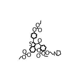 CCOC(=O)Oc1ccc(-c2sc3cc(OC(=O)OCC)cc(OC(=O)OCC)c3c2C(=O)c2ccc(OCCN3CCCC3)cc2)cc1